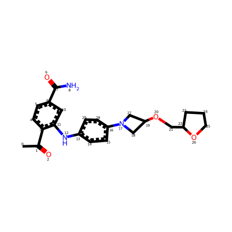 CC(=O)c1ccc(C(N)=O)cc1Nc1ccc(N2CC(OCC3CCCO3)C2)cc1